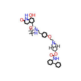 CC(C)(C)[Si](C)(C)O[C@@H](CNCCc1ccc(OCCN2C[C@H]3C[C@H](OC(=O)Nc4ccccc4-c4ccccc4)C[C@H]3C2)cc1)c1ccc(O)c2[nH]c(=O)ccc12